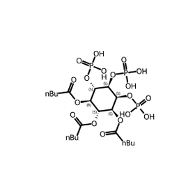 CCCCC(=O)O[C@@H]1[C@@H](OC(=O)CCCC)[C@H](OP(=O)(O)O)[C@@H](OP(=O)(O)O)[C@@H](OP(=O)(O)O)[C@H]1OC(=O)CCCC